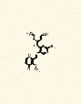 CCC[C@@H](CCO)Nc1nc(N)ncc1OCc1[nH]ccc(=O)c1OC